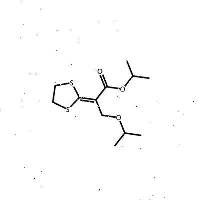 CC(C)OCC(C(=O)OC(C)C)=C1SCCS1